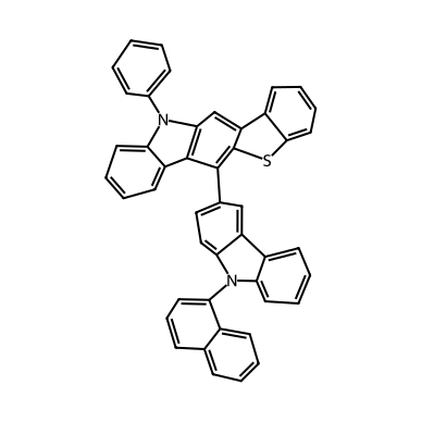 c1ccc(-n2c3ccccc3c3c(-c4ccc5c(c4)c4ccccc4n5-c4cccc5ccccc45)c4sc5ccccc5c4cc32)cc1